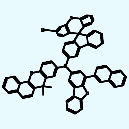 CC1(C)c2cc(N(c3ccc4c(c3)-c3ccccc3C43c4ccccc4Sc4cc(Cl)ccc43)c3cc(-c4ccc5ccccc5c4)c4oc5ccccc5c4c3)ccc2Oc2c1ccc1ccccc21